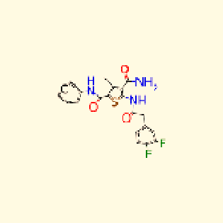 Cc1c(C(=O)Nc2ccccc2)sc(NC(=O)Cc2ccc(F)c(F)c2)c1C(N)=O